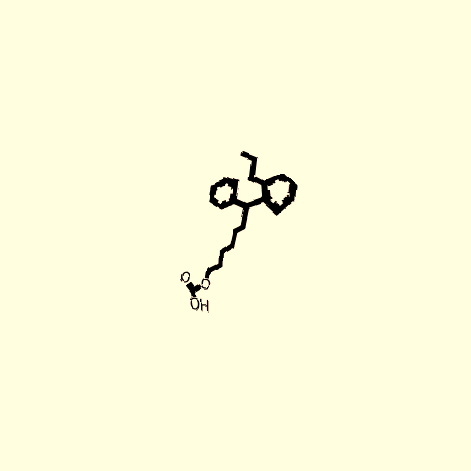 CCCc1ccccc1C(CCCCCCOC(=O)O)c1ccccc1